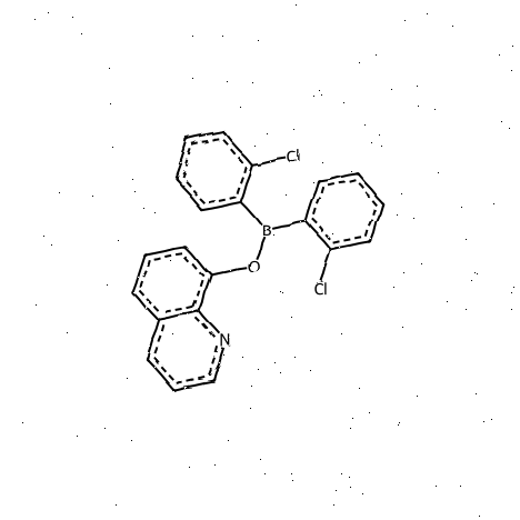 Clc1ccccc1B(Oc1cccc2cccnc12)c1ccccc1Cl